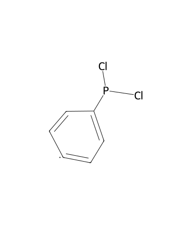 ClP(Cl)c1cc[c]cc1